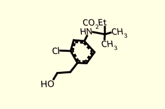 CCOC(=O)C(C)(C)Nc1ccc(CCO)c(Cl)c1